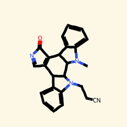 CN1c2ccccc2C2C3=C(C=NC3=O)C3c4ccccc4N(CCC#N)C3C21